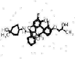 C[C@H](O)COc1ccc(C(N)=O)c(-c2c(Cl)c(F)cc3c2[C@H](C)[C@@](CNC2CCC(C)(O)CC2)(c2ccccc2)O3)c1F